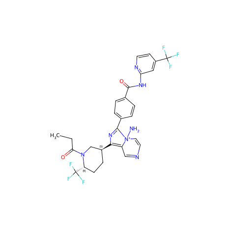 CCC(=O)N1C[C@@H](C2=C3C=NC=C[N+]3(N)C(c3ccc(C(=O)Nc4cc(C(F)(F)F)ccn4)cc3)=N2)CC[C@@H]1C(F)(F)F